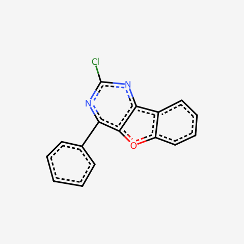 Clc1nc(-c2ccccc2)c2oc3ccccc3c2n1